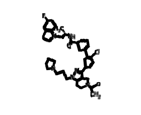 CC(=O)N1CCc2c(c(-c3ccc(Cl)c(-c4cccc(C(=O)N[C@@H](C)CN5CCc6cc(F)ccc65)c4)c3)nn2CCCN2CCCC2)C1